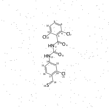 O=C(NC(=O)c1c(Cl)cccc1Cl)Nc1ccc(C=S)c(Cl)c1